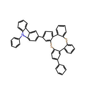 c1ccc(-c2ccc3c(c2)-c2ccccc2Sc2ccccc2-c2ccc(-c4ccc5c(c4)c4ccccc4n5-c4ccccc4)cc2S3)cc1